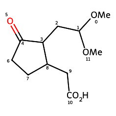 COC(CC1C(=O)CCC1CC(=O)O)OC